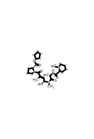 C/C(=C\[C@H](C(C)C)N(C)C(=O)[C@@H](NC(=O)C1CCCCN1C(C)C)C(C)C)C(=O)N1CCC[C@H]1C(=O)OC1CCCC1